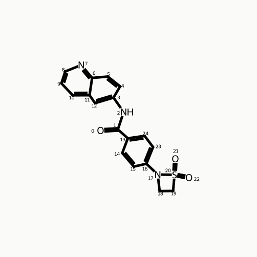 O=C(Nc1ccc2ncccc2c1)c1ccc(N2CCS2(=O)=O)cc1